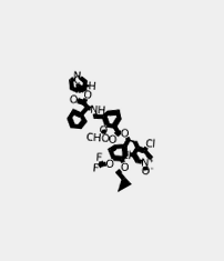 O=COc1c(CNC(C(=O)O[C@H]2CN3CCC2CC3)c2ccccc2)cccc1C(=O)O[C@@H](Cc1c(Cl)c[n+]([O-])cc1Cl)c1ccc(OC(F)F)c(OCC2CC2)c1